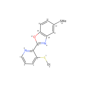 CCSc1cccnc1-c1nc2cc(SC)ccc2o1